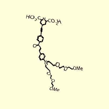 COCCOCCOCCN(CCOCCOCCOC)c1ccc(C=CC(=O)c2ccc(C#Cc3cc(C(=O)O)nc(C(=O)O)c3)cc2)cc1